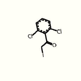 O=C(CI)c1c(Cl)cccc1Cl